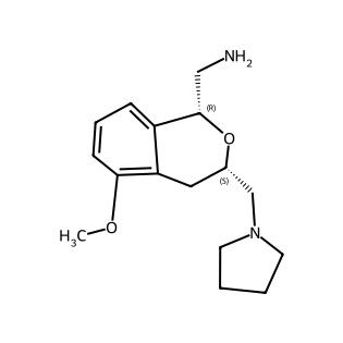 COc1cccc2c1C[C@@H](CN1CCCC1)O[C@H]2CN